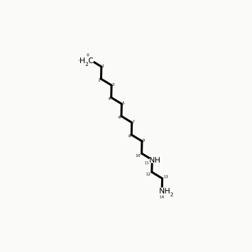 [CH2]CCCCCCCCCCNCCN